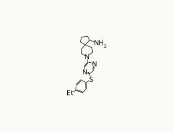 CCc1ccc(Sc2cnc(N3CCC4(CCCC4N)CC3)cn2)cc1